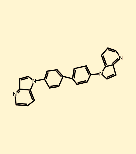 c1cnc2ccn(-c3ccc(-c4ccc(-n5ccc6ncccc65)cc4)cc3)c2c1